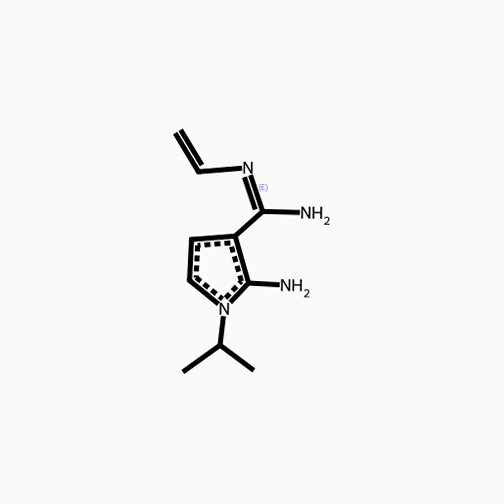 C=C/N=C(/N)c1ccn(C(C)C)c1N